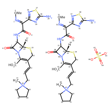 CON=C(C(=O)NC1C(=O)N2C(C(=O)O)=C(C=CC[N+]3(C)CCCC3)CS[C@@H]12)c1nsc(N)n1.CON=C(C(=O)NC1C(=O)N2C(C(=O)O)=C(C=CC[N+]3(C)CCCC3)CS[C@@H]12)c1nsc(N)n1.O=S(=O)([O-])[O-]